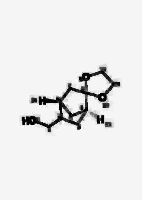 OCC1C[C@H]2C[C@H]1CC21OCCO1